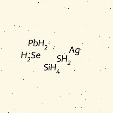 S.[Ag].[PbH2].[SeH2].[SiH4]